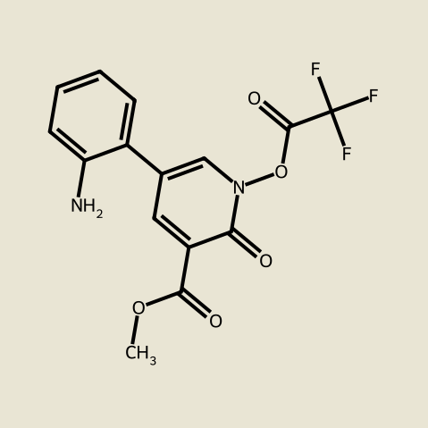 COC(=O)c1cc(-c2ccccc2N)cn(OC(=O)C(F)(F)F)c1=O